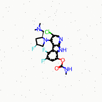 CNC(=O)Oc1cc(F)c(F)c2c1[nH]c1ncc(Cl)c(N3C[C@@H](F)C[C@H]3CN(C)C)c12